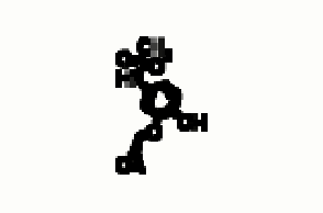 CS(=O)(=O)Nc1ccc(O)c(OCC2CO2)c1